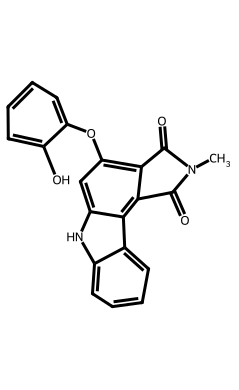 CN1C(=O)c2c(Oc3ccccc3O)cc3[nH]c4ccccc4c3c2C1=O